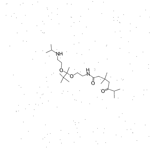 CC(C)NCCOC(C)(OCCNC(=O)CC(C)(C)CC(=O)C(C)C)C(C)(C)C